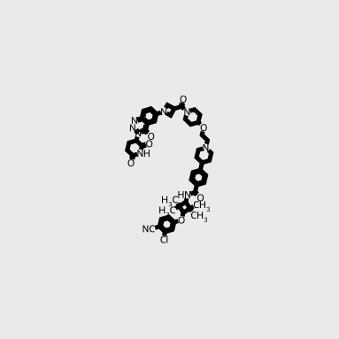 CC1(C)C(NC(=O)c2ccc(C3CCN(CCOC4CCN(C(=O)C5CN(c6ccc7nnn(C8CCC(=O)NC8=O)c(=O)c7c6)C5)CC4)CC3)cc2)C(C)(C)C1Oc1ccc(C#N)c(Cl)c1